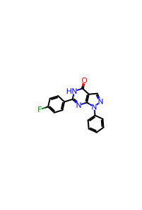 O=c1[nH]c(-c2ccc(F)cc2)nc2c1cnn2-c1ccccc1